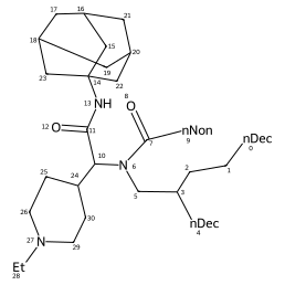 CCCCCCCCCCCCC(CCCCCCCCCC)CN(C(=O)CCCCCCCCC)C(C(=O)NC12CC3CC(CC(C3)C1)C2)C1CCN(CC)CC1